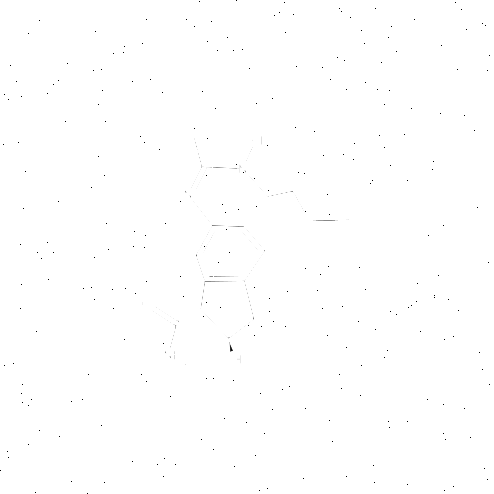 CC(=Nc1ccc2c(c1)[C@@H](C(N)=O)[C@H](O)C2)N(C)CCOC(C)C